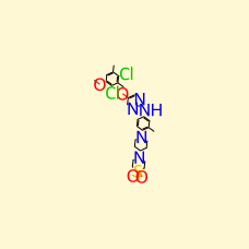 COc1cc(C)c(Cl)c(COc2cnc(Nc3ccc(N4CCC(N5CCS(=O)(=O)CC5)CC4)c(C)c3)nc2)c1Cl